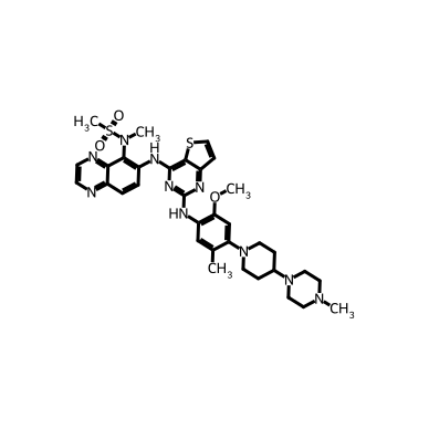 COc1cc(N2CCC(N3CCN(C)CC3)CC2)c(C)cc1Nc1nc(Nc2ccc3nccnc3c2N(C)S(C)(=O)=O)c2sccc2n1